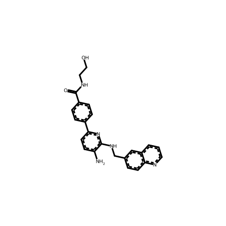 Nc1ccc(-c2ccc(C(=O)NCCO)cc2)nc1NCc1ccc2ncccc2c1